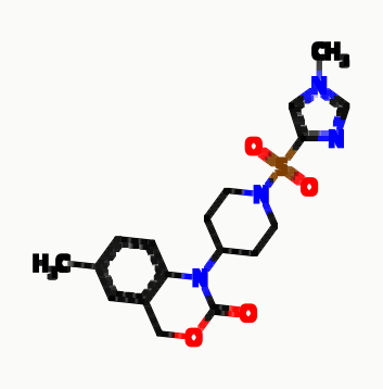 Cc1ccc2c(c1)COC(=O)N2C1CCN(S(=O)(=O)c2cn(C)cn2)CC1